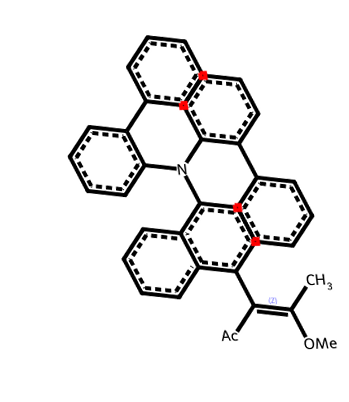 CO/C(C)=C(\C(C)=O)c1ccc(N(c2ccccc2-c2ccccc2)c2ccccc2-c2ccccc2)c2ccccc12